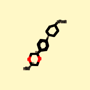 CCCCC[C@H]1CC[C@H](c2ccc([C@@H]3CO[C@@H](CCCC)CO3)cc2)CC1